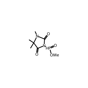 CO[PH](=O)N1C(=O)N(C)C(C)(C)C1=O